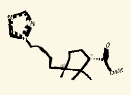 COC(=O)[C@H]1CC[C@@](C)(CCCn2cncn2)C1(C)C